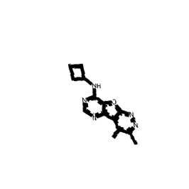 Cc1nnc2oc3c(NC4CCC4)ncnc3c2c1C